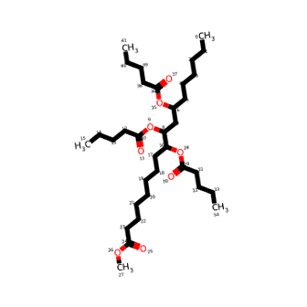 CCCCCCC(CC(OC(=O)CCCC)C(CCCCCCCC(=O)OC)OC(=O)CCCC)OC(=O)CCCC